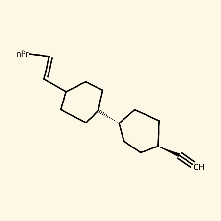 C#C[C@H]1CC[C@H](C2CCC(/C=C/CCC)CC2)CC1